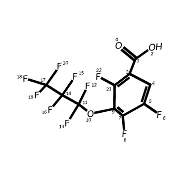 O=C(O)c1cc(F)c(F)c(OC(F)(F)C(F)(F)C(F)(F)F)c1F